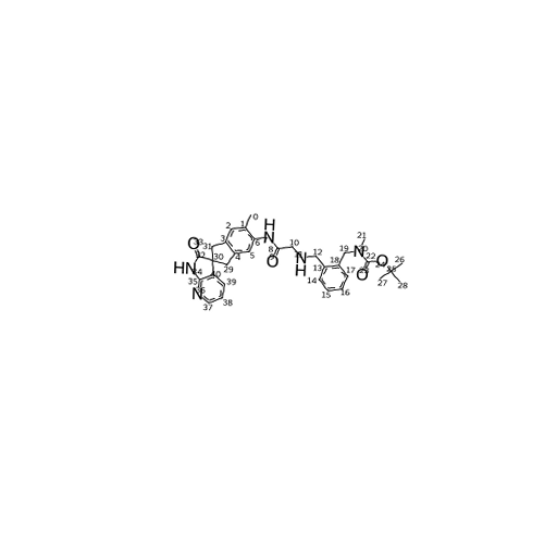 Cc1cc2c(cc1NC(=O)CNCc1ccccc1CN(C)C(=O)OC(C)(C)C)CC1(C2)C(=O)Nc2ncccc21